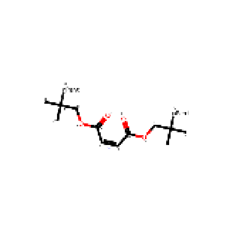 CCCCCC(C)(C)COC(=O)/C=C\C(=O)OCC(C)(C)CCCCC